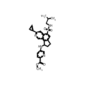 COC(=O)c1ccc(NC2CCc3cc(S(=O)(=O)NCC(C)C)c4cc(C5CC5)ncc4c32)cn1